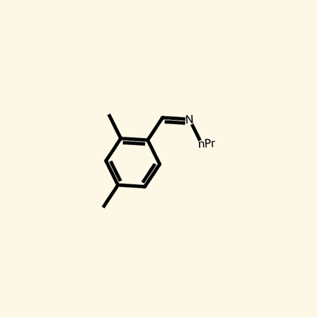 CCC/N=C\c1ccc(C)cc1C